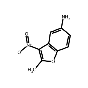 Cc1oc2ccc(N)cc2c1[N+](=O)[O-]